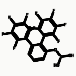 OB(O)Oc1cccc(-c2c(F)c(F)c(F)c(F)c2F)c1-c1c(F)c(F)c(F)c(F)c1F